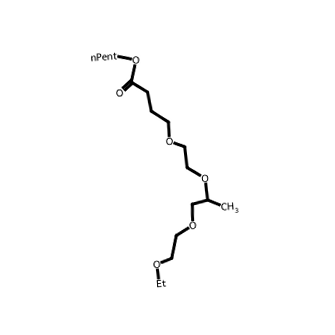 CCCCCOC(=O)CCCOCCOC(C)COCCOCC